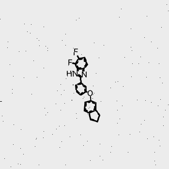 Fc1ccc2nc(-c3[c]ccc(Oc4ccc5c(c4)CCC5)c3)[nH]c2c1F